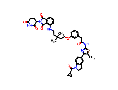 Cc1sc(NC(=O)Cc2cccc(OCCC(C)(C)CCNc3cccc4c3C(=O)N(C3CCC(=O)NC3=O)C4=O)c2)nc1-c1ccc2c(c1)CCN2C(=O)C1CC1